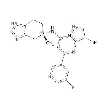 CC(C)c1cnn2c(N[C@@]3(C)CCc4[nH]cnc4C3)cc(-c3cncc(F)c3)nc12